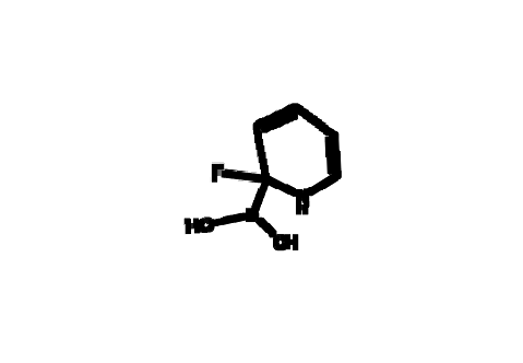 OB(O)C1(F)C=CC=CN1